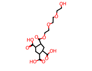 O=C(O)C1CC(C(=O)O)C(C(=O)OCCOCCOCCO)CC1C(=O)O